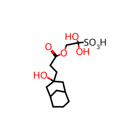 O=C(CCC1(O)CC2CCCC(C2)C1)OCC(O)(O)S(=O)(=O)O